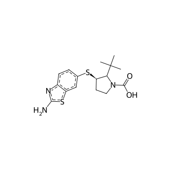 CC(C)(C)C1[C@H](Sc2ccc3nc(N)sc3c2)CCN1C(=O)O